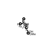 COc1cccc(/C=N/c2cnc(S(=O)(=O)Nc3nc(-c4ccc(F)c(F)c4)c(Cc4ccccc4)s3)c(C)c2)c1O